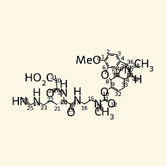 COc1ccc2c3c1OC1C(OC(=O)N(C)CCNC(=O)[C@H](CCCNC=N)NC(=O)CC(=O)O)=CCC4[C@@H](C2)N(C)CC[C@]314